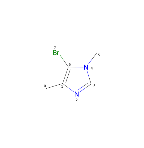 Cc1ncn(C)c1Br